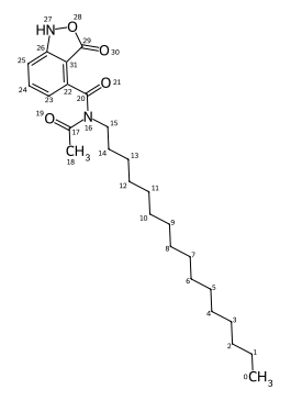 CCCCCCCCCCCCCCCCN(C(C)=O)C(=O)c1cccc2[nH]oc(=O)c12